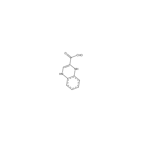 O=CC(=O)C1=CNc2ccccc2N1